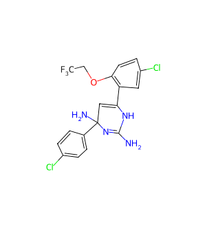 NC1=NC(N)(c2ccc(Cl)cc2)C=C(c2cc(Cl)ccc2OCC(F)(F)F)N1